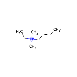 [CH2]CCC[N+](C)(C)CC